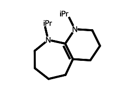 CC(C)N1CCCCC2=C1N(C(C)C)CCC2